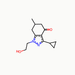 CC1CC(=O)c2c(C3CC3)nn(CCO)c2C1